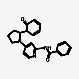 O=C(Nc1cc(N2CCCC2C2C=CC=CC2=O)ccn1)c1ccccc1